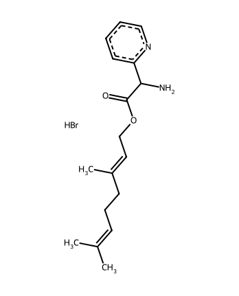 Br.CC(C)=CCC/C(C)=C/COC(=O)C(N)c1ccccn1